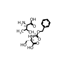 CC(C)[C@H](N)C(=O)O.O=C(N[C@@H](CO)C(=O)O)OCc1ccccc1